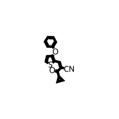 N#CC(=Cc1sccc1Oc1ccccc1)C(=O)C1CC1